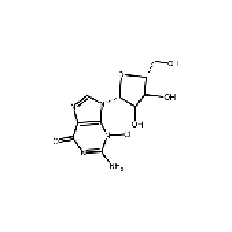 Nc1nc(=O)c2ncn([C@@H]3O[C@H](CO)C(O)C3O)c2n1Cl